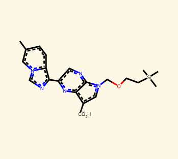 Cc1ccc2c(-c3cnc4c(n3)c(C(=O)O)cn4COCC[Si](C)(C)C)ncn2c1